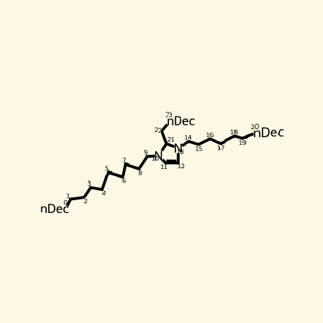 CCCCCCCCCCCCCCCCCCCN1C=CN(CCCCCCCCCCCCCCCC)C1CCCCCCCCCCC